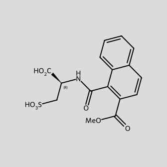 COC(=O)c1ccc2ccccc2c1C(=O)N[C@@H](CS(=O)(=O)O)C(=O)O